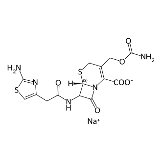 NC(=O)OCC1=C(C(=O)[O-])N2C(=O)C(NC(=O)Cc3csc(N)n3)[C@@H]2SC1.[Na+]